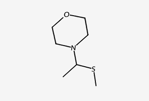 CSC(C)N1CCOCC1